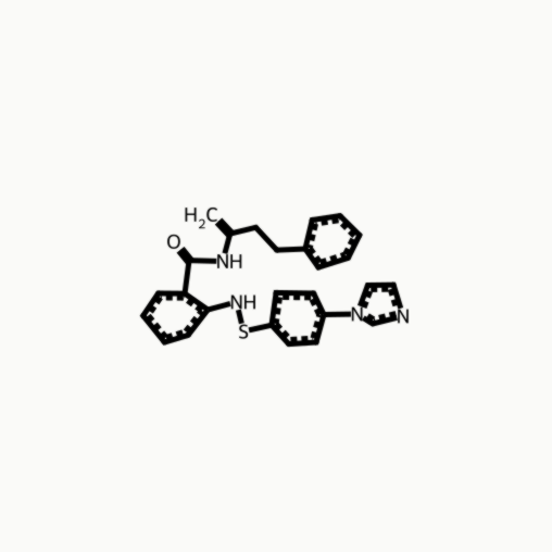 C=C(CCc1ccccc1)NC(=O)c1ccccc1NSc1ccc(-n2ccnc2)cc1